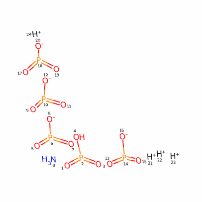 N.O=P(=O)O.O=P(=O)[O-].O=P(=O)[O-].O=P(=O)[O-].O=P(=O)[O-].[H+].[H+].[H+].[H+]